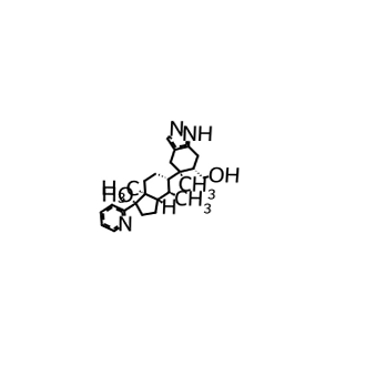 C[C@@H]1[C@@H]([C@@]2(C)Cc3cn[nH]c3C[C@@H]2CO)CC[C@@]2(C)[C@H]1CC[C@@]2(O)c1ccccn1